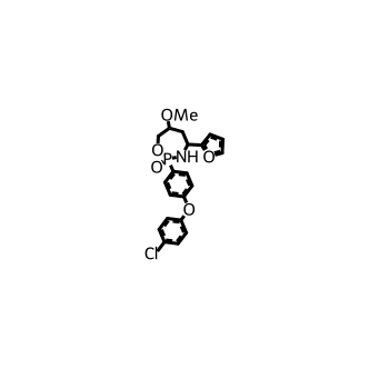 COC1COP(=O)(c2ccc(Oc3ccc(Cl)cc3)cc2)NC(c2ccco2)C1